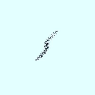 CCCCCCCCCCCCc1cnc(-c2ccc(OCC(F)CCCC(F)CCCCC)cc2)nc1